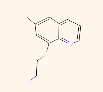 CCc1cc(OCCN)c2ncccc2c1